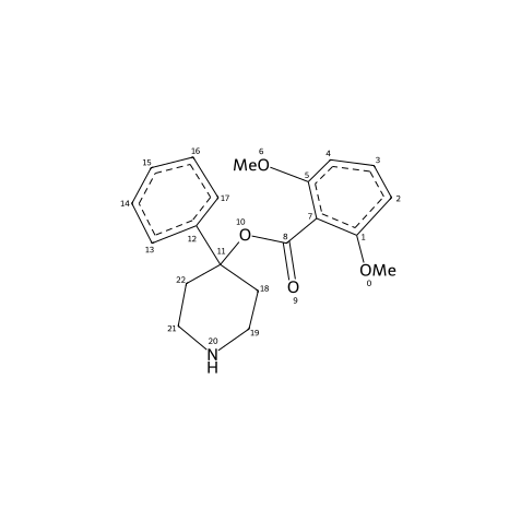 COc1cccc(OC)c1C(=O)OC1(c2ccccc2)CCNCC1